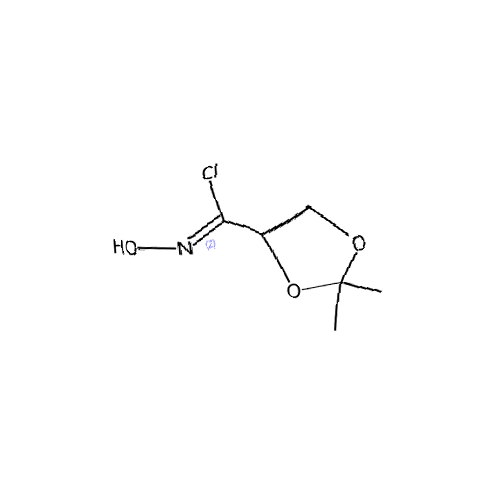 CC1(C)OCC(/C(Cl)=N/O)O1